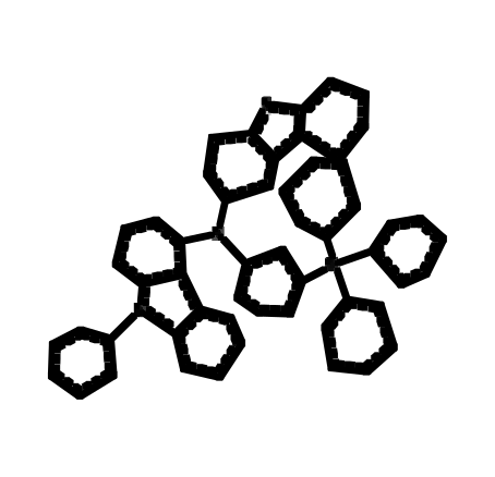 c1ccc(-n2c3ccccc3c3c(N(c4cccc([Si](c5ccccc5)(c5ccccc5)c5ccccc5)c4)c4ccc5sc6ccccc6c5c4)cccc32)cc1